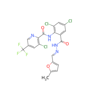 Cc1ccc(C=NNC(=O)c2cc(Cl)cc(Cl)c2NC(=O)c2ncc(C(F)(F)F)cc2Cl)o1